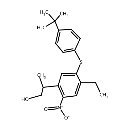 CCc1cc([N+](=O)[O-])c(C(C)CO)cc1Sc1ccc(C(C)(C)C)cc1